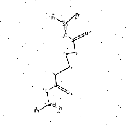 C[CH](C)[SnH]([O]C(=O)CCCCC(=O)[O][SnH]([CH](C)C)[CH](C)C)[CH](C)C